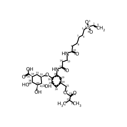 C=CS(=O)(=O)CCCCCC(=O)NCCC(=O)Nc1cc(COC(=O)C(C)C)ccc1O[C@@H]1C[C@H](C(=O)O)[C@@H](O)[C@H](O)[C@H]1O